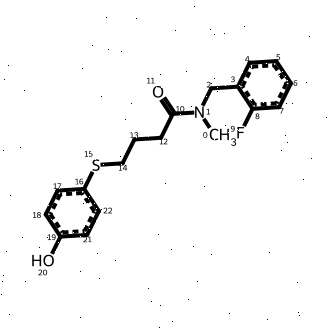 CN(Cc1ccccc1F)C(=O)CCCSc1ccc(O)cc1